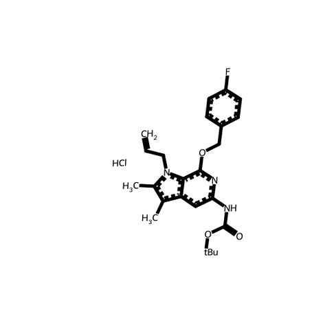 C=CCn1c(C)c(C)c2cc(NC(=O)OC(C)(C)C)nc(OCc3ccc(F)cc3)c21.Cl